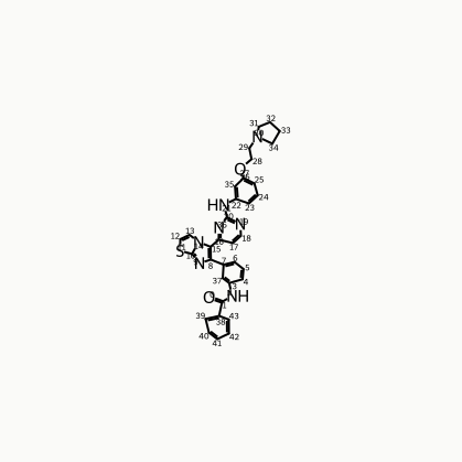 O=C(Nc1cccc(-c2nc3sccn3c2-c2ccnc(Nc3cccc(OCCN4CCCC4)c3)n2)c1)c1ccccc1